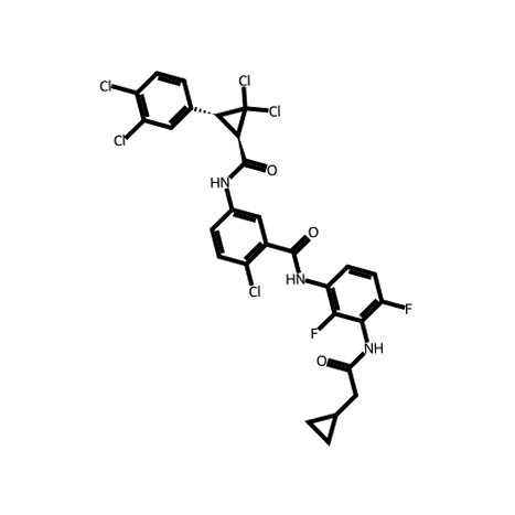 O=C(CC1CC1)Nc1c(F)ccc(NC(=O)c2cc(NC(=O)[C@H]3[C@H](c4ccc(Cl)c(Cl)c4)C3(Cl)Cl)ccc2Cl)c1F